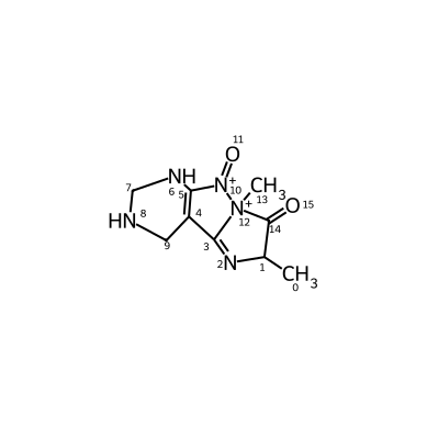 CC1N=C2C3=C(NCNC3)[N+](=O)[N+]2(C)C1=O